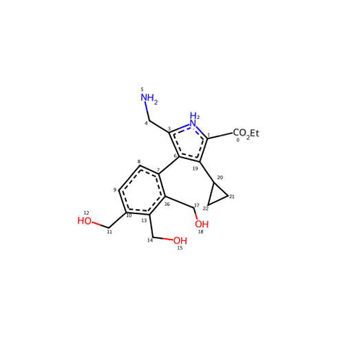 CCOC(=O)c1[nH]c(CN)c(-c2ccc(CO)c(CO)c2CO)c1C1CC1